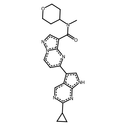 CN(C(=O)c1cnn2ccc(-c3c[nH]c4nc(C5CC5)ncc34)nc12)C1CCOCC1